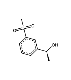 C[C@H](O)c1cccc(S(C)(=O)=O)c1